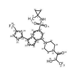 CC1(NS(=O)(=O)c2cc(N3CCN(C(=O)C(O)C(F)(F)F)CC3)c3cnc(-c4nnc(C(F)(F)F)s4)n3c2)CC1